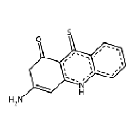 NC1=Cc2[nH]c3ccccc3c(=S)c2C(=O)C1